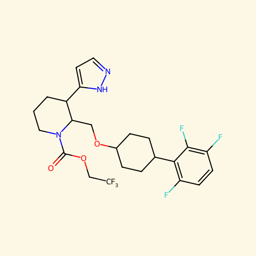 O=C(OCC(F)(F)F)N1CCCC(c2ccn[nH]2)C1COC1CCC(c2c(F)ccc(F)c2F)CC1